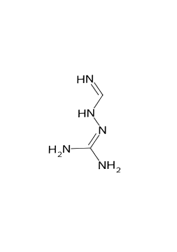 N=CNN=C(N)N